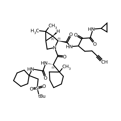 C#CCCC(NC(=O)[C@@H]1[C@@H]2C(CN1C(=O)[C@@H](NC(=O)NC1(CS(=O)(=O)C(C)(C)C)CCCCC1)C1(C)CCCCC1)C2(C)C)C(=O)C(=O)NC1CC1